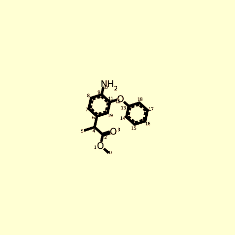 COC(=O)C(C)c1ccc(N)c(Oc2ccccc2)c1